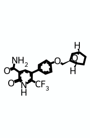 NC(=O)c1cc(-c2ccc(OC[C@H]3C[C@@H]4CC[C@H]3O4)cc2)c(C(F)(F)F)[nH]c1=O